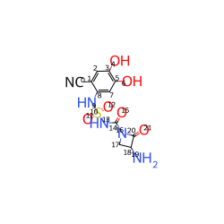 N#Cc1cc(O)c(O)cc1NS(=O)(=O)NC(=O)N1CC(N)C1=O